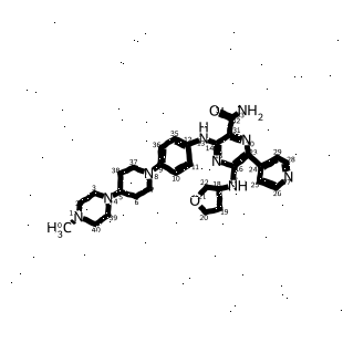 CN1CCN(C2CCN(c3ccc(Nc4nc(NC5CCOC5)c(-c5ccncc5)nc4C(N)=O)cc3)CC2)CC1